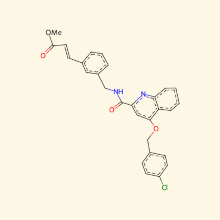 COC(=O)/C=C/c1cccc(CNC(=O)c2cc(OCc3ccc(Cl)cc3)c3ccccc3n2)c1